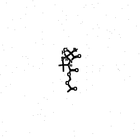 CC(=O)OCOC(=O)[C@@H]1N2C(=O)C(Cl)(Br)[C@H]2SC1(C)C